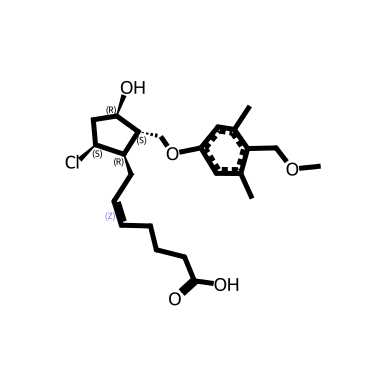 COCc1c(C)cc(OC[C@@H]2[C@@H](C/C=C\CCCC(=O)O)[C@@H](Cl)C[C@H]2O)cc1C